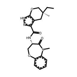 CC[C@]1(C)COc2[nH]nc(C(=O)N[C@H]3COc4ccccc4N(C)C3=O)c2C1